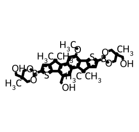 COc1cc2c3c(c(CO)cc2c2c1-c1sc(B4OCC(C)(CO)CO4)cc1C2(C)C)-c1sc(B2OCC(C)(CO)CO2)cc1C3(C)C